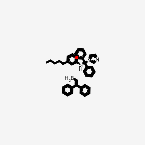 BC=C(c1ccccc1)c1ccccc1.CCCCCc1cccc([SiH2]C(c2ccccc2)(c2ccccc2)n2ccnc2)c1